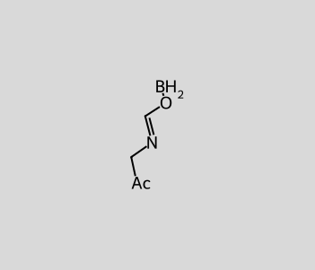 BOC=NCC(C)=O